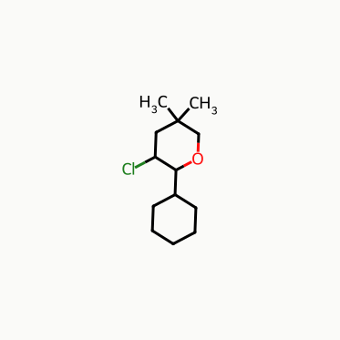 CC1(C)COC(C2CCCCC2)C(Cl)C1